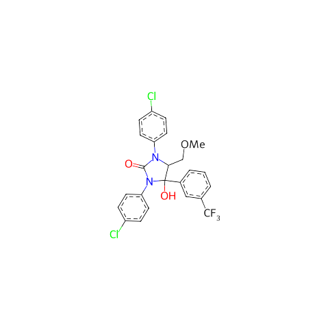 COCC1N(c2ccc(Cl)cc2)C(=O)N(c2ccc(Cl)cc2)C1(O)c1cccc(C(F)(F)F)c1